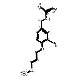 CC(C)(C)OCCCOc1ccc(CNC(=N)N)cc1Br